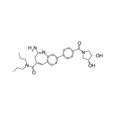 CCCN(CCC)C(=O)C1=Cc2ccc(-c3ccc(C(=O)N4C[C@H](O)[C@@H](O)C4)cc3)cc2N=C(N)C1